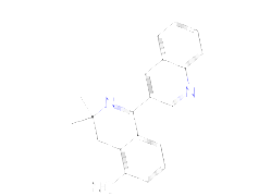 CC1(C)Cc2c(C#N)cccc2C(c2cnc3ccccc3c2)=N1